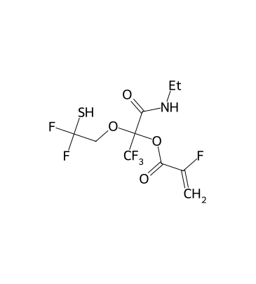 C=C(F)C(=O)OC(OCC(F)(F)S)(C(=O)NCC)C(F)(F)F